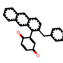 O=C1C=CC(=O)C(c2c(Cc3ccccc3)ccc3cc4ccccc4cc23)=C1